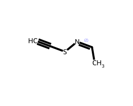 C#CS/N=C\C